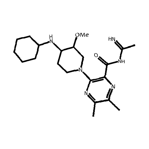 COC1CN(c2nc(C)c(C)nc2C(=O)NC(C)=N)CCC1NC1CCCCC1